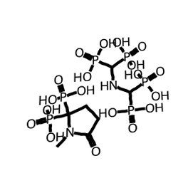 CN1C(=O)CCC1(P(=O)(O)O)P(=O)(O)O.O=P(O)(O)C(NC(P(=O)(O)O)P(=O)(O)O)P(=O)(O)O